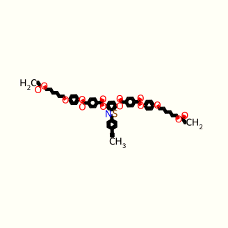 C=CC(=O)OCCCCCCOc1ccc(OC(=O)C2CCC(C(=O)Oc3ccc(OC(=O)C4CCC(C(=O)Oc5ccc(OCCCCCCOC(=O)C=C)cc5)CC4)c4sc(-c5ccc(C#CC)cc5)nc34)CC2)cc1